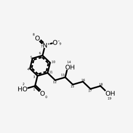 O=C(O)c1ccc([N+](=O)[O-])cc1CC(O)CCCCO